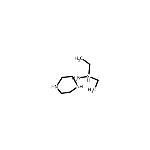 C1CNCCN1.CC[SiH](N)CC